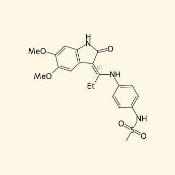 CC/C(Nc1ccc(NS(C)(=O)=O)cc1)=C1/C(=O)Nc2cc(OC)c(OC)cc21